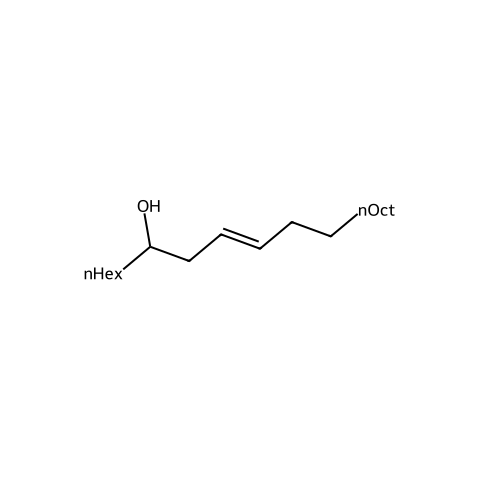 [CH2]CCCCCCCCCC=CCC(O)CCCCCC